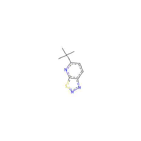 CC(C)(C)c1ccc2nnsc2n1